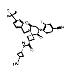 N#Cc1ccc(N2CC(=O)N(Cc3ccc(C(F)(F)F)cc3)[C@]3(C[C@H](C(=O)N[C@H]4C[C@H](O)C4)C3)C2=O)c(F)c1